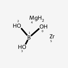 OB(O)O.[MgH2].[Zr]